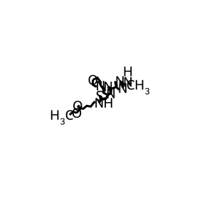 CCOC(=O)CCCCNc1cc2nc(-c3cnc(NC)nc3)nc(N3CCOCC3)c2s1